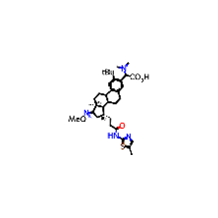 CO/N=C1\C[C@@H](CCC(=O)Nc2ncc(C)s2)C2C3CCc4cc(C(C(=O)O)N(C)C)c(C(C)(C)C)cc4C3CC[C@]12C